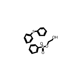 O=S(=O)(OCCO)c1ccccc1.c1ccc(Sc2ccccc2)cc1